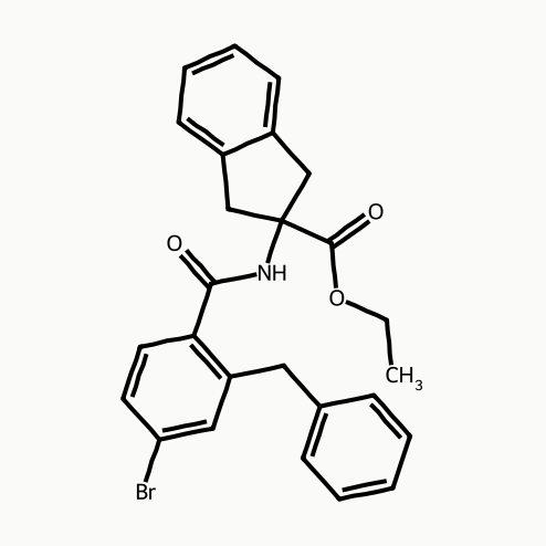 CCOC(=O)C1(NC(=O)c2ccc(Br)cc2Cc2ccccc2)Cc2ccccc2C1